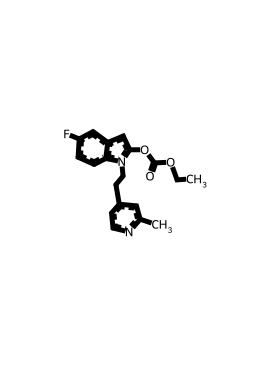 CCOC(=O)Oc1cc2cc(F)ccc2n1CCc1ccnc(C)c1